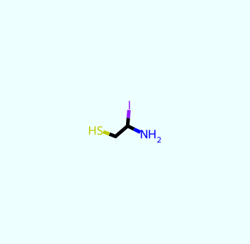 NC(I)CS